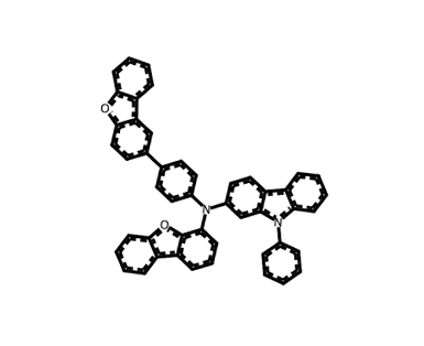 c1ccc(-n2c3ccccc3c3ccc(N(c4ccc(-c5ccc6oc7ccccc7c6c5)cc4)c4cccc5c4oc4ccccc45)cc32)cc1